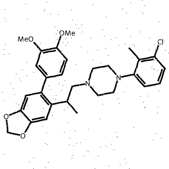 COc1ccc(-c2cc3c(cc2C(C)CN2CCN(c4cccc(Cl)c4C)CC2)OCO3)cc1OC